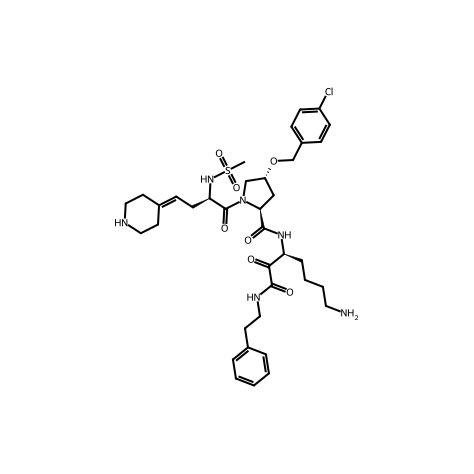 CS(=O)(=O)N[C@H](CC=C1CCNCC1)C(=O)N1C[C@H](OCc2ccc(Cl)cc2)C[C@H]1C(=O)N[C@@H](CCCCN)C(=O)C(=O)NCCc1ccccc1